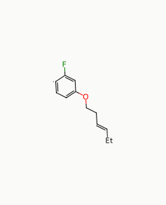 CC/C=C/CCOc1cc[c]c(F)c1